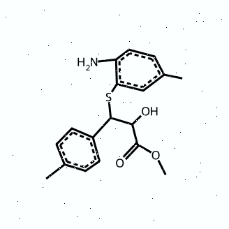 COC(=O)C(O)C(Sc1cc(C)ccc1N)c1ccc(C)cc1